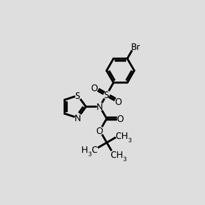 CC(C)(C)OC(=O)N(c1nccs1)S(=O)(=O)c1ccc(Br)cc1